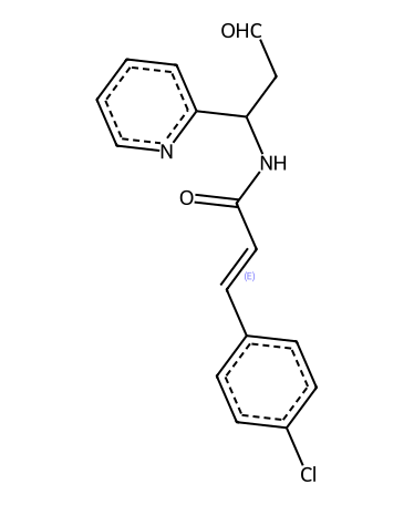 O=CCC(NC(=O)/C=C/c1ccc(Cl)cc1)c1ccccn1